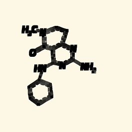 Cn1ccc2nc(N)nc(Nc3ccccc3)c2c1=O